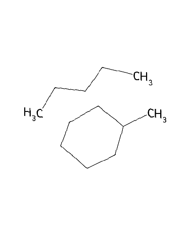 CC1CCCCC1.CCCCC